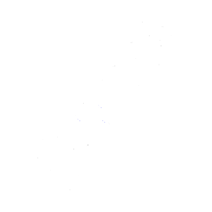 COc1cccc(CN2CN(c3ccc(B4OC(C)(C)C(C)(C)O4)cc3)N=C2C)c1